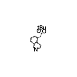 CC(C)(C)OC(=O)Cc1cccc2cnccc12